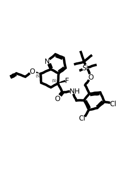 C=CCO[C@H]1CC[C@@](F)(C(=O)NCc2c(Cl)cc(Cl)cc2CO[Si](C)(C)C(C)(C)C)c2cccnc21